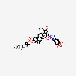 CC(C)C1=C2[C@H]3CC[C@@H]4[C@@]5(C)CC[C@H](OC(=O)[C@H]6C[C@@H](C(=O)O)C6(C)C)C(C)(C)[C@@H]5CC[C@@]4(C)[C@]3(C)CC[C@@]2(CC(=O)NCc2ccc3c(c2)OCO3)CC1=O